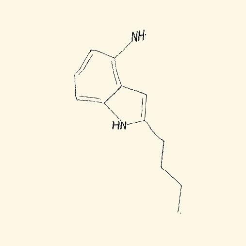 [CH2]CCCc1cc2c([NH])cccc2[nH]1